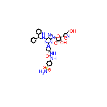 NS(=O)(=O)c1ccc(NC(=O)N[C@@H]2CCN(c3nc(NCC(c4ccccc4)c4ccccc4)c4ncn([C@@H]5O[C@H](c6cc(CO)no6)[C@@H](O)[C@H]5O)c4n3)C2)cc1